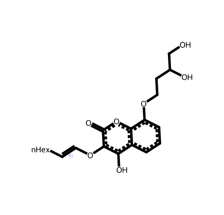 CCCCCC/C=C/Oc1c(O)c2cccc(OCCC(O)CO)c2oc1=O